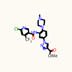 COC(=O)c1cn(-c2ccc(N3CCN(C)CC3)c(NC(=O)c3cnc(Cl)cc3C(F)(F)F)c2)nn1